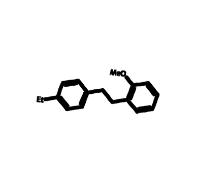 CCc1ccc(CCc2[c]cccc2OC)cc1